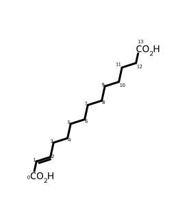 O=C(O)/C=C/CCCCCCCCCCC(=O)O